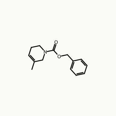 CC1=CCCN(C(=O)OCc2ccccc2)C1